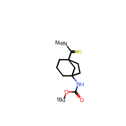 CNC(=S)C12CCCC(NC(=O)OC(C)(C)C)(CC1)C2